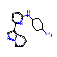 NC1CCC(Nc2cccc(-c3cnn4ccccc34)n2)CC1